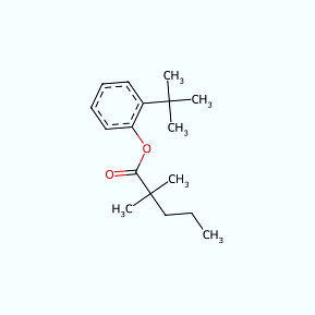 CCCC(C)(C)C(=O)Oc1ccccc1C(C)(C)C